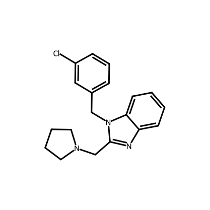 Clc1cccc(Cn2c(CN3CCCC3)nc3ccccc32)c1